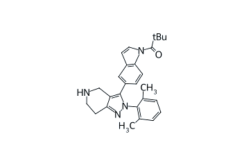 Cc1cccc(C)c1-n1nc2c(c1-c1ccc3c(ccn3C(=O)C(C)(C)C)c1)CNCC2